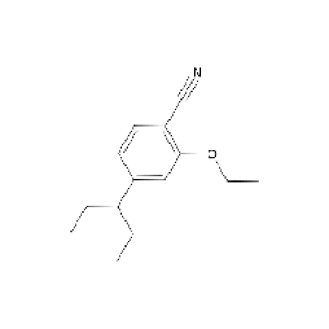 CCOc1cc(C(CC)CC)ccc1C#N